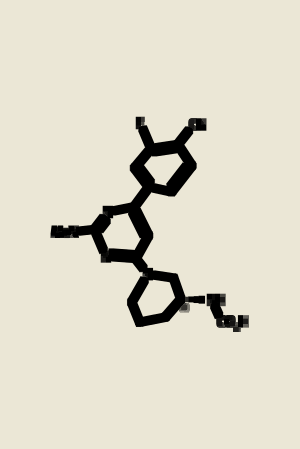 CNc1nc(-c2ccc(C#N)c(F)c2)cc(N2CCC[C@@H](NC(=O)O)C2)n1